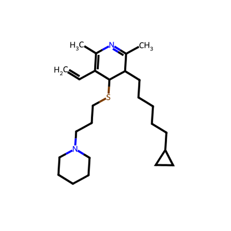 C=CC1=C(C)N=C(C)C(CCCCCC2CC2)C1SCCCN1CCCCC1